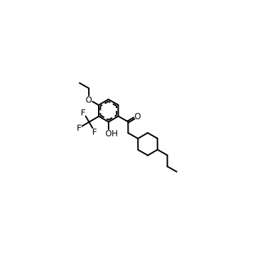 CCCC1CCC(CC(=O)c2ccc(OCC)c(C(F)(F)F)c2O)CC1